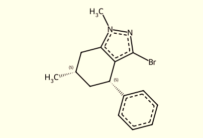 C[C@@H]1Cc2c(c(Br)nn2C)[C@H](c2ccccc2)C1